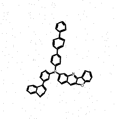 c1ccc(-c2ccc(-c3ccc(N(c4cccc(-c5cccc6ccccc56)c4)c4ccc5cc6oc7ccccc7c6nc5c4)cc3)cc2)cc1